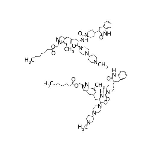 CCCCCCC(=O)OCn1cc2cc(C[C@@H](NC(=O)N3CCC(c4cc5ccccc5[nH]c4=O)CC3)C(=O)N3CCN(C4CCN(C)CC4)CC3)cc(C)c2n1.CCCCCCC(=O)OCn1ncc2cc(C[C@@H](NC(=O)N3CCC(c4cc5ccccc5[nH]c4=O)CC3)C(=O)N3CCN(C4CCN(C)CC4)CC3)cc(C)c21